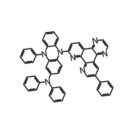 c1ccc(-c2cnc3c(c2)c2nccnc2c2ccc(N4c5ccccc5N(c5ccccc5)c5cc(N(c6ccccc6)c6ccccc6)ccc54)nc23)cc1